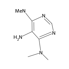 CNc1ncnc(N(C)C)c1N